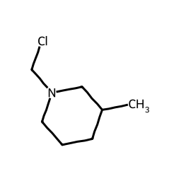 CC1CCCN(CCl)C1